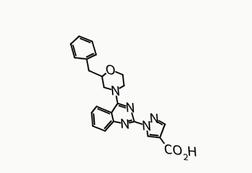 O=C(O)c1cnn(-c2nc(N3CCOC(Cc4ccccc4)C3)c3ccccc3n2)c1